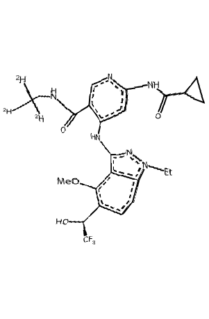 [2H]C([2H])([2H])NC(=O)c1cnc(NC(=O)C2CC2)cc1Nc1nn(CC)c2ccc([C@H](O)C(F)(F)F)c(OC)c12